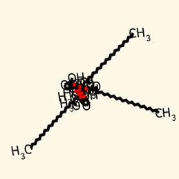 CCCCCCCCCCCCCCCCCCCCCC(=O)OCC1CC(OC2C3COC2C(O)C(OC2C(O)C(OC4C5COC4C(C)C(C(C)C)C5)OC(COC(=O)CCCCCCCCCCCCCCCCCCCCC)C2OC(=O)CCCCCCCCCCCCCCCCCCCCC)O3)C(O)C(O)C1O